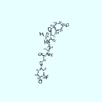 C[C@@]1(C(=O)NC23CC(NC(=O)COc4ccc(Cl)c(F)c4)(C2)C3)Cc2cc(Cl)ccc2O1